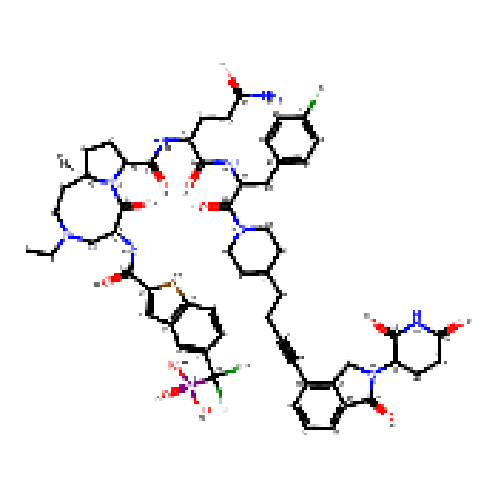 CCN1CC[C@H]2CC[C@@H](C(=O)NC(CCC(N)=O)C(=O)NC(Cc3ccc(F)cc3)C(=O)N3CCC(CCC#Cc4cccc5c4CN(C4CCC(=O)NC4=O)C5=O)CC3)N2C(=O)[C@@H](NC(=O)c2cc3cc(C(F)(F)P(=O)(O)O)ccc3s2)C1